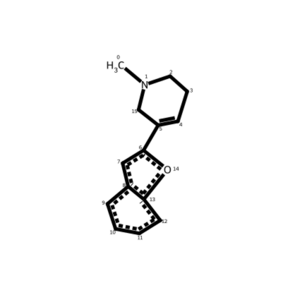 CN1CCC=C(c2cc3ccccc3o2)C1